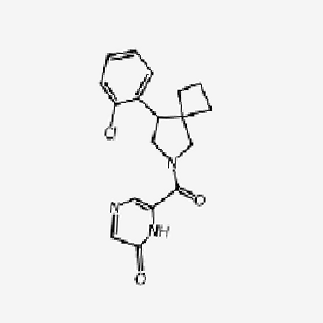 O=C(c1cncc(=O)[nH]1)N1CC(c2ccccc2Cl)C2(CCC2)C1